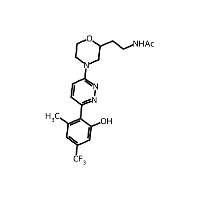 CC(=O)NCCC1CN(c2ccc(-c3c(C)cc(C(F)(F)F)cc3O)nn2)CCO1